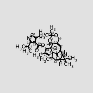 CC1=C[C@]23C(=O)[C@@H](C=C4COC(C)(C)O[C@H]4[C@]2(O)[C@H]1OC(=O)c1c(C(C)C)noc1C)[C@H]1[C@@H](C[C@H]3C)C1(C)C